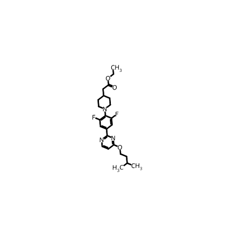 CCOC(=O)CC1CCN(c2c(F)cc(-c3nccc(OCCC(C)C)n3)cc2F)CC1